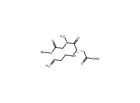 C=CCCN[C@@H](CC(=O)OC)C(=O)N(C)CC(=O)OC(C)(C)C